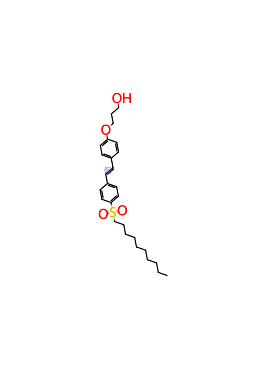 CCCCCCCCCCS(=O)(=O)c1ccc(/C=C/c2ccc(OCCCO)cc2)cc1